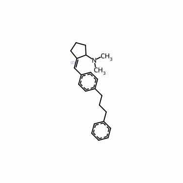 CN(C)C1CCC/C1=C/c1ccc(CCCc2ccccc2)cc1